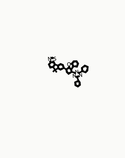 CC1(C)c2cc(-c3ccc(-c4nc(-c5ccccc5)nc(-c5ccccc5)n4)c4c3oc3ccccc34)ccc2-c2c1ccc1ncsc21